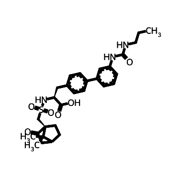 CCCNC(=O)Nc1cccc(-c2ccc(C[C@H](NS(=O)(=O)C[C@]34CCC(CC3=O)C4(C)C)C(=O)O)cc2)c1